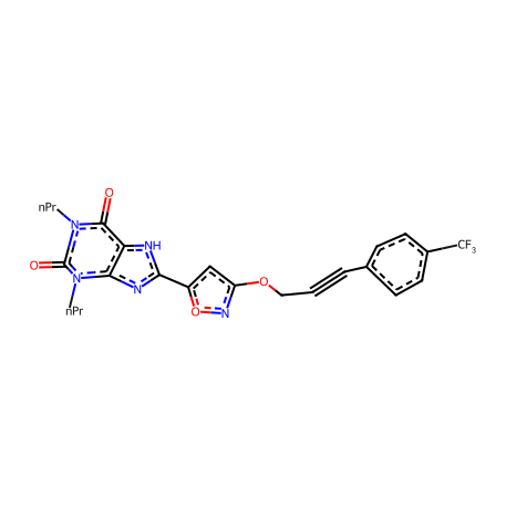 CCCn1c(=O)c2[nH]c(-c3cc(OCC#Cc4ccc(C(F)(F)F)cc4)no3)nc2n(CCC)c1=O